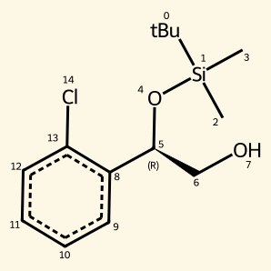 CC(C)(C)[Si](C)(C)O[C@@H](CO)c1ccccc1Cl